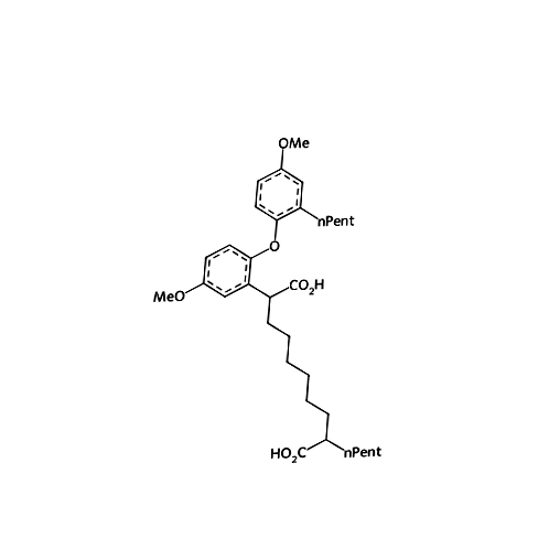 CCCCCc1cc(OC)ccc1Oc1ccc(OC)cc1C(CCCCCCC(CCCCC)C(=O)O)C(=O)O